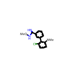 CNc1[c]ccc(Cl)c1-c1cccc(C(=N)NOC)c1